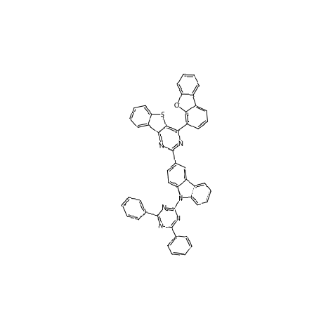 c1ccc(-c2nc(-c3ccccc3)nc(-n3c4ccccc4c4cc(-c5nc(-c6cccc7c6oc6ccccc67)c6sc7ccccc7c6n5)ccc43)n2)cc1